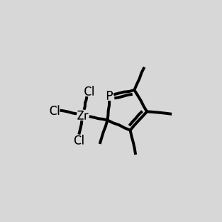 CC1=P[C](C)([Zr]([Cl])([Cl])[Cl])C(C)=C1C